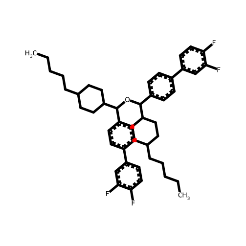 CCCCCC1CCC(C(OC(c2ccc(-c3ccc(F)c(F)c3)cc2)C2CCC(CCCCC)CC2)c2ccc(-c3ccc(F)c(F)c3)cc2)CC1